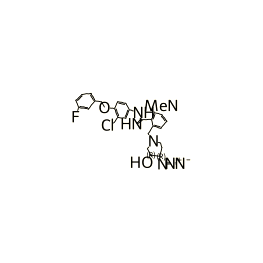 CNc1cccc(CN2CC[C@@H](N=[N+]=[N-])[C@H](O)C2)c1C(=N)Nc1ccc(OCc2cccc(F)c2)c(Cl)c1